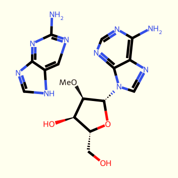 CO[C@@H]1[C@H](O)[C@@H](CO)O[C@H]1n1cnc2c(N)ncnc21.Nc1ncc2[nH]cnc2n1